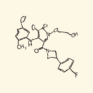 Cc1ccc(Cl)cc1Nc1c(C(=O)N2CC(c3ccc(F)cc3)C2)cn(OCCO)c(=O)c1Cl